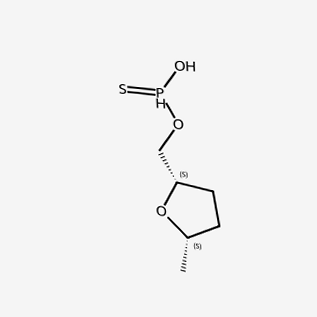 C[C@H]1CC[C@@H](CO[PH](O)=S)O1